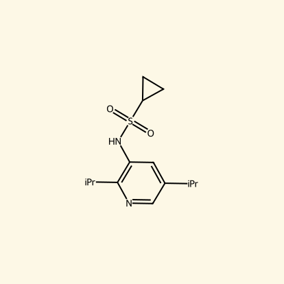 CC(C)c1cnc(C(C)C)c(NS(=O)(=O)C2CC2)c1